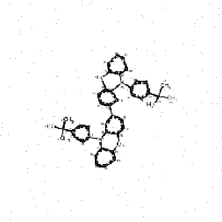 CC(C)(C)c1ccc(N2c3ccccc3Oc3ccc(-c4ccc5c(c4)N(c4ccc(C(C)(C)C)cc4)c4ccccc4S5)cc32)cc1